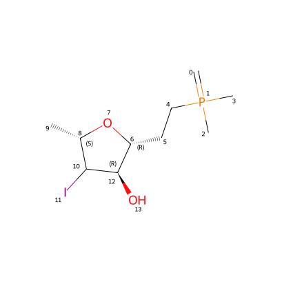 C=P(C)(C)CC[C@H]1O[C@@H](C)C(I)[C@@H]1O